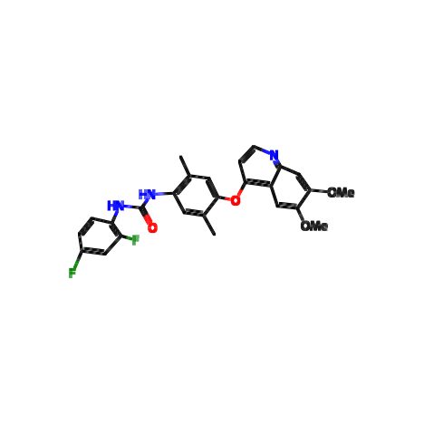 COc1cc2nccc(Oc3cc(C)c(NC(=O)Nc4ccc(F)cc4F)cc3C)c2cc1OC